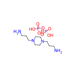 NCCCN1CCN(CCCN)CC1.O=P(O)(O)OP(=O)(O)O